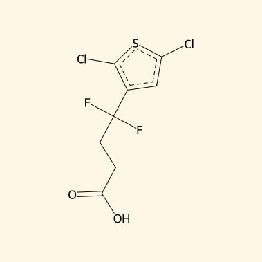 O=C(O)CCC(F)(F)c1cc(Cl)sc1Cl